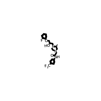 C[C@H]1CN(CC(=O)Nc2ccc(C(F)(F)F)cc2)CCN1C[C@H](O)COc1ccccc1F